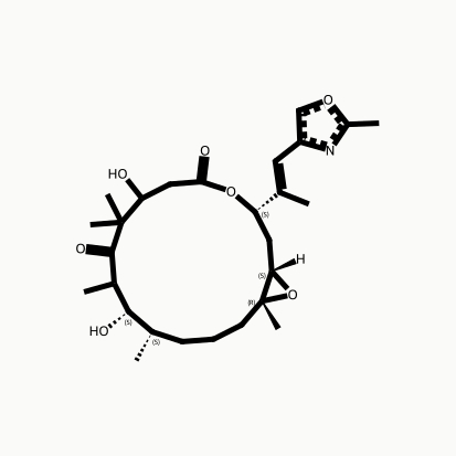 CC(=Cc1coc(C)n1)[C@@H]1C[C@@H]2O[C@]2(C)CCC[C@H](C)[C@H](O)C(C)C(=O)C(C)(C)C(O)CC(=O)O1